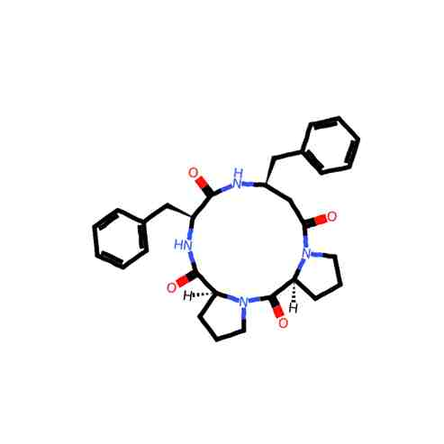 O=C1N[C@@H](Cc2ccccc2)CC(=O)N2CCC[C@H]2C(=O)N2CCC[C@H]2C(=O)N[C@H]1Cc1ccccc1